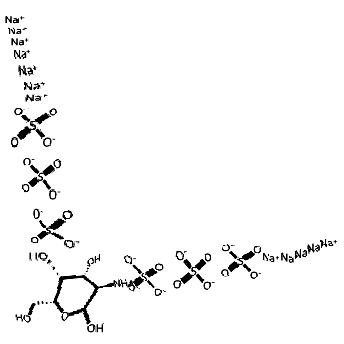 CC(=O)N[C@H]1C(O)O[C@H](CO)[C@H](O)[C@@H]1O.O=S(=O)([O-])[O-].O=S(=O)([O-])[O-].O=S(=O)([O-])[O-].O=S(=O)([O-])[O-].O=S(=O)([O-])[O-].O=S(=O)([O-])[O-].[Na+].[Na+].[Na+].[Na+].[Na+].[Na+].[Na+].[Na+].[Na+].[Na+].[Na+].[Na+]